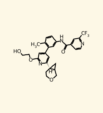 Cc1ccc(NC(=O)c2ccnc(C(F)(F)F)c2)cc1-c1cc(OCCO)nc([C@@]23CCOC[C@@H]2C3)c1